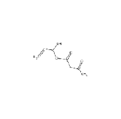 C=CC(O)OC(=O)CC(C)=O